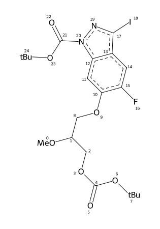 COC(COC(=O)OC(C)(C)C)COc1cc2c(cc1F)c(I)nn2C(=O)OC(C)(C)C